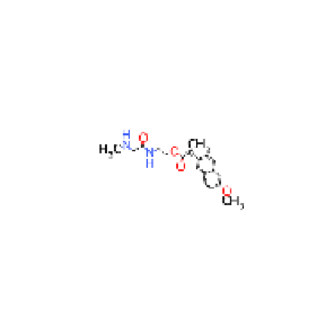 CNCC(=O)NCCOC(=O)[C@@H](C)c1ccc2cc(OC)ccc2c1